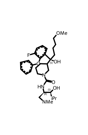 CNC[C@@H](NC(=O)N1CCCC([C@@](O)(CCCCOC)c2cccc(F)c2Oc2ccccc2)C1)[C@@H](O)C(C)C